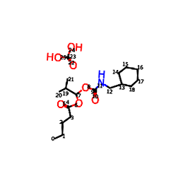 CCCCC(=O)OC(OC(=O)NCC1CCCCC1)C(C)C.O=C(O)O